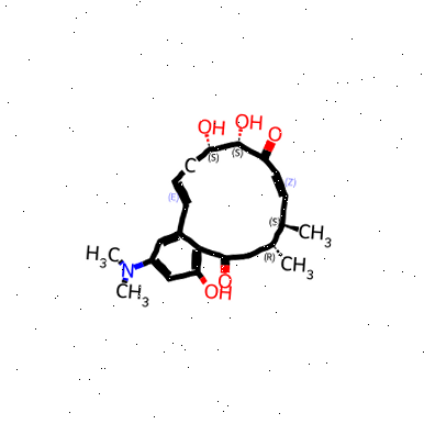 C[C@@H]1/C=C\C(=O)[C@@H](O)[C@@H](O)C/C=C/c2cc(N(C)C)cc(O)c2C(=O)C[C@H]1C